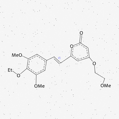 CCOc1c(OC)cc(/C=C/c2cc(OCCOC)cc(=O)o2)cc1OC